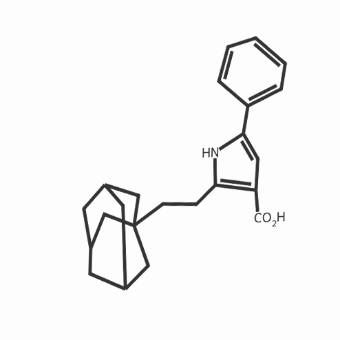 O=C(O)c1cc(-c2ccccc2)[nH]c1CCC12CC3CC(CC(C3)C1)C2